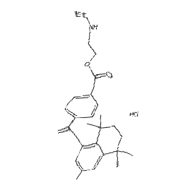 C=C(c1ccc(C(=O)OCCNCC)cc1)c1cc(C)cc2c1C(C)(C)CCC2(C)C.Cl